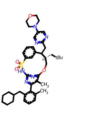 Cc1cccc(CC2CCCCC2)c1-c1nc2nc(c1C)OC[C@@H](CC(C)(C)C)C(Cc1ncc(N3CCOCC3)cn1)c1cccc(c1)S(=O)(=O)N2